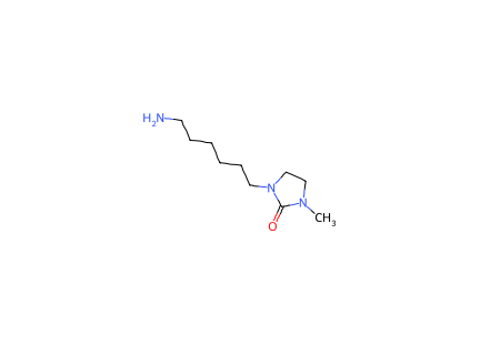 CN1CCN(CCCCCCN)C1=O